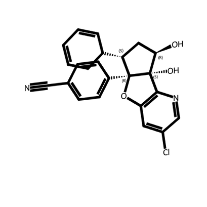 N#Cc1ccc([C@@]23Oc4cc(Cl)cnc4[C@]2(O)[C@H](O)C[C@H]3C2C=CC=CC2)cc1